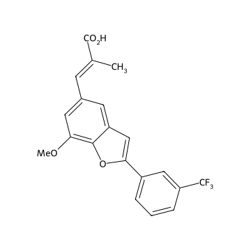 COc1cc(C=C(C)C(=O)O)cc2cc(-c3cccc(C(F)(F)F)c3)oc12